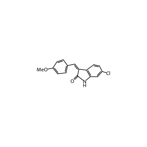 COc1ccc(C=C2C(=O)Nc3cc(Cl)ccc32)cc1